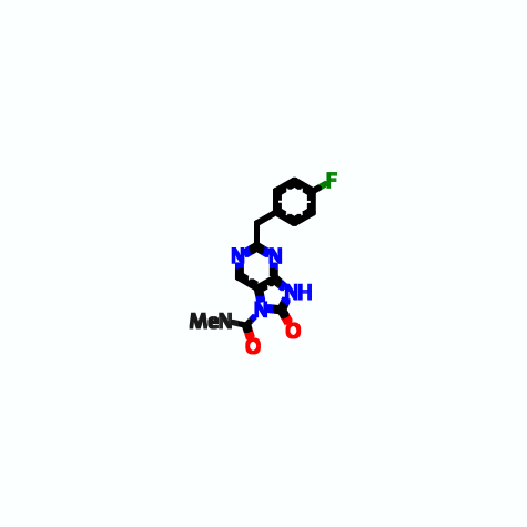 CNC(=O)n1c(=O)[nH]c2nc(Cc3ccc(F)cc3)ncc21